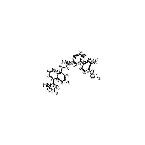 CNC(=O)c1ccnc2c(CCNc3cc(-c4ccc(OC)c(F)c4)ncn3)cccc12